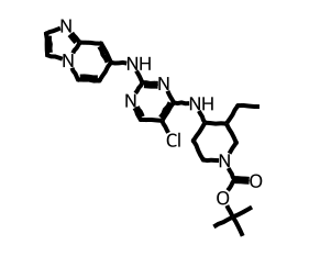 CCC1CN(C(=O)OC(C)(C)C)CCC1Nc1nc(Nc2ccn3ccnc3c2)ncc1Cl